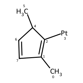 CC1=[C]([Pt])C(C)C=C1